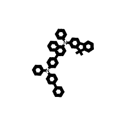 CC1(C)c2ccccc2-c2ccc(N(c3ccccc3)c3ccc(-c4ccc(N(c5ccccc5)c5ccc(-c6ccccc6)cc5)cc4)c4ccccc34)cc21